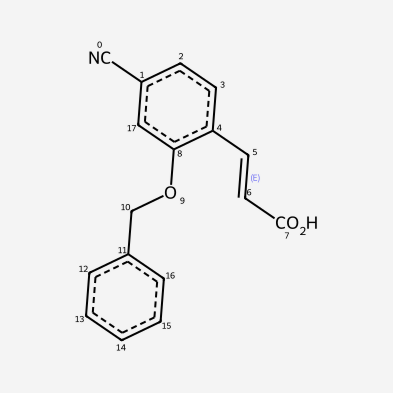 N#Cc1ccc(/C=C/C(=O)O)c(OCc2ccccc2)c1